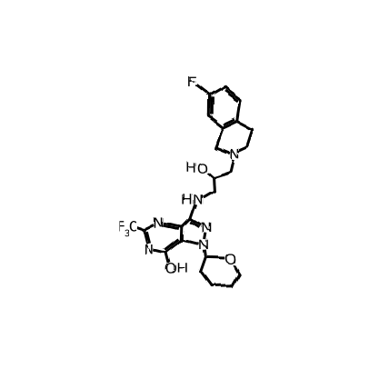 Oc1nc(C(F)(F)F)nc2c(NCC(O)CN3CCc4ccc(F)cc4C3)nn(C3CCCCO3)c12